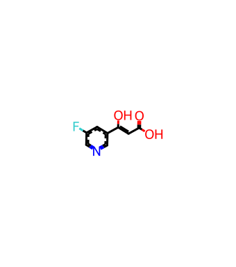 O=C(O)/C=C(\O)c1cncc(F)c1